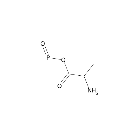 CC(N)C(=O)OP=O